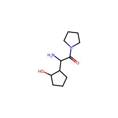 NC(C(=O)N1CCCC1)C1CCCC1O